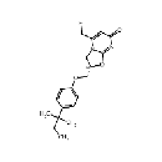 CCC(C)(C)c1ccc(OC[C@@H]2Cn3c(CF)cc(=O)nc3O2)cc1